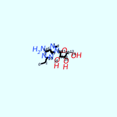 CCc1nc(N)c2ncn([C@@H]3O[C@H](CO)[C@@H](O)[C@@H]3O)c2n1